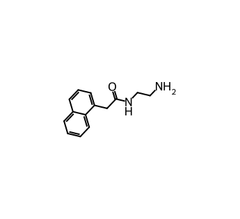 NCCNC(=O)Cc1cccc2ccccc12